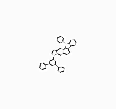 c1ccc(-c2cc(-c3ccccc3)cc(-n3ccc4cc5c(ccc6c7ccccc7n(-c7ccccc7)c56)cc43)c2)cc1